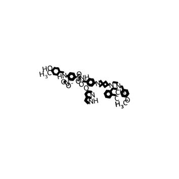 COc1ccc(CN2CCN(C3CC4(C3)CN(c3ccc(C(=O)NS(=O)(=O)c5ccc(NCC6CCC(C)(O)CC6)c([N+](=O)[O-])c5)c(Oc5cnc6[nH]ccc6c5)c3)C4)C(c3ccccc3C(C)C)C2)cc1